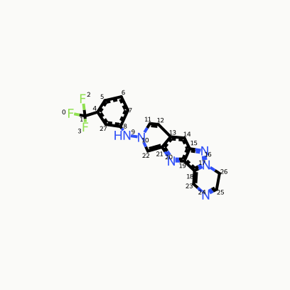 FC(F)(F)c1cccc(NN2C=Cc3cc4nn5c(c4nc3=C2)=CN=CC5)c1